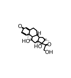 C[C@H]1CC2[C@@H]3CCC4=CC(=O)C=C[C@]4(C)C3[C@@H](O)C[C@]2(C)[C@@]1(O)C(=O)CO